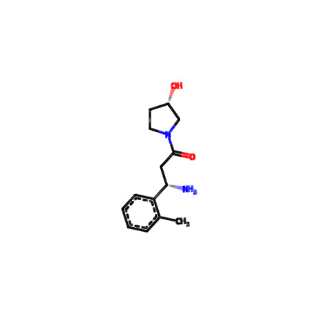 Cc1ccccc1[C@@H](N)CC(=O)N1CC[C@H](O)C1